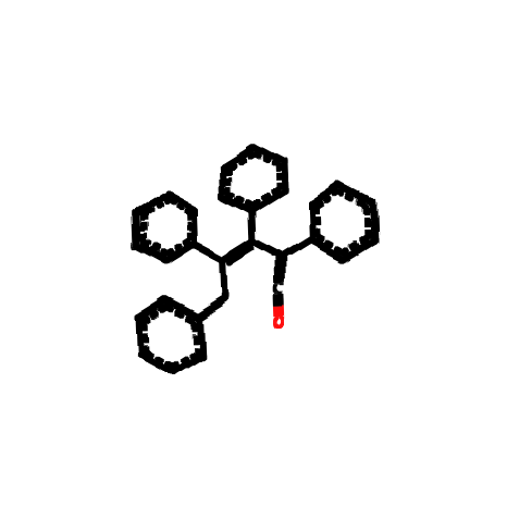 O=C=C(C(=C(Cc1ccccc1)c1ccccc1)c1ccccc1)c1ccccc1